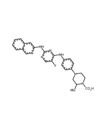 CC(C)(C)C1CN(c2ccc(Nc3nc(Nc4cc5ccccc5cn4)ncc3F)cc2)CCN1C(=O)O